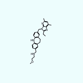 CCc1nc2c(C)cc(C)nc2n1Cc1ccc2c(c1)CCc1cc(CNCCOC)ccc1N2